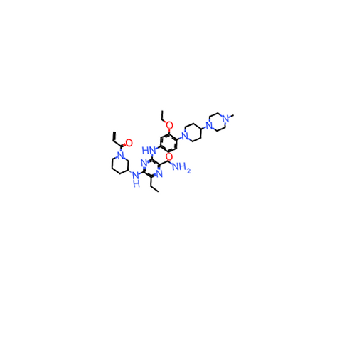 C=CC(=O)N1CCC[C@@H](Nc2nc(Nc3ccc(N4CCC(N5CCN(C)CC5)CC4)c(OCC)c3)c(C(N)=O)nc2CC)C1